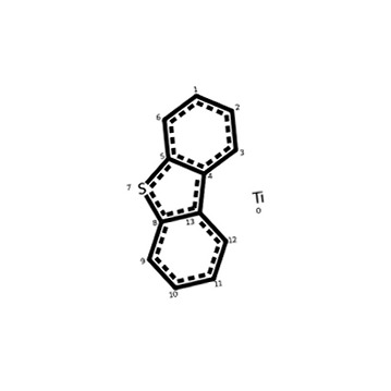 [Ti].c1ccc2c(c1)sc1ccccc12